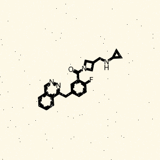 O=C(c1cc(Cc2nncc3ccccc23)ccc1F)N1CC(CNC2CC2)C1